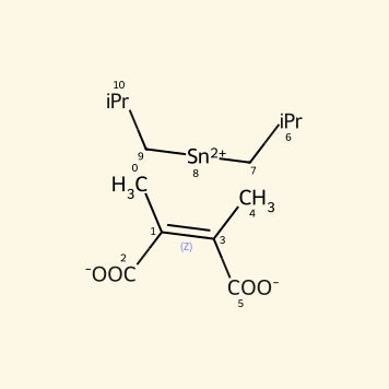 C/C(C(=O)[O-])=C(\C)C(=O)[O-].CC(C)[CH2][Sn+2][CH2]C(C)C